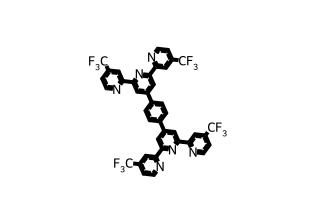 FC(F)(F)c1ccnc(-c2cc(-c3ccc(-c4cc(-c5cc(C(F)(F)F)ccn5)nc(-c5cc(C(F)(F)F)ccn5)c4)cc3)cc(-c3cc(C(F)(F)F)ccn3)n2)c1